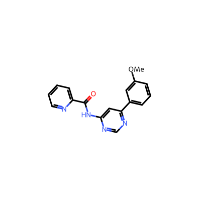 COc1cccc(-c2cc(NC(=O)c3ccccn3)ncn2)c1